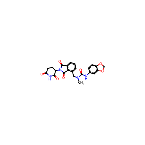 CN(Cc1cccc2c1C(=O)N(C1CCC(=O)NC1=O)C2=O)C(=O)Nc1ccc2c(c1)OCO2